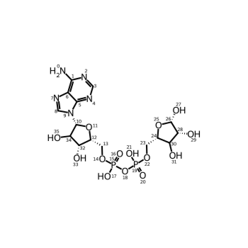 Nc1ncnc2c1ncn2[C@@H]1O[C@H](COP(=O)(O)OP(=O)(O)OC[C@@H]2O[C@H](O)[C@H](O)C2O)[C@H](O)C1O